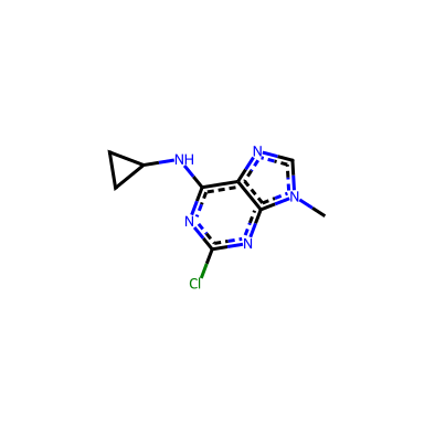 Cn1cnc2c(NC3CC3)nc(Cl)nc21